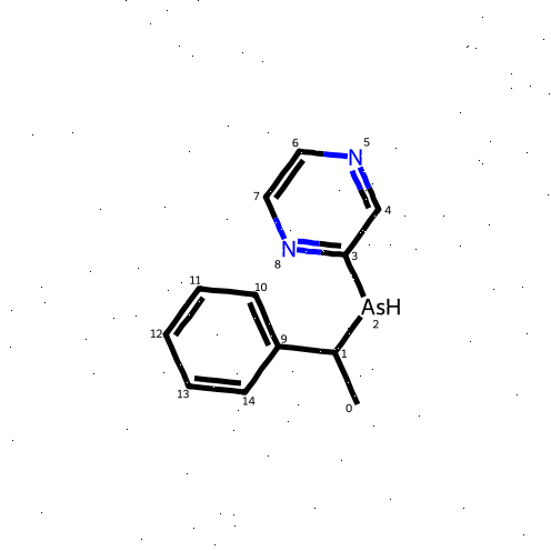 CC([AsH]c1cnccn1)c1ccccc1